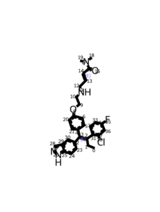 CC/C(=C(/c1ccc(OCCNC/C=C/C(=O)N(C)C)cc1)c1ccc2[nH]ncc2c1)c1ccc(F)cc1Cl